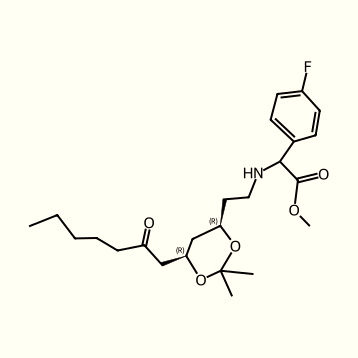 CCCCCC(=O)C[C@H]1C[C@@H](CCNC(C(=O)OC)c2ccc(F)cc2)OC(C)(C)O1